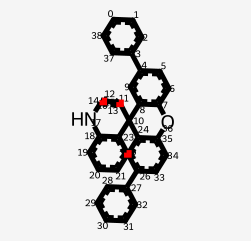 c1ccc(-c2ccc3c(c2)C2(c4ccccc4Nc4ccccc42)c2cc(-c4ccccc4)ccc2O3)cc1